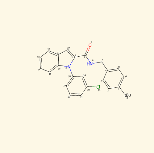 CC(C)(C)c1ccc(CNC(=O)c2cc3ccccc3n2-c2cccc(Cl)c2)cc1